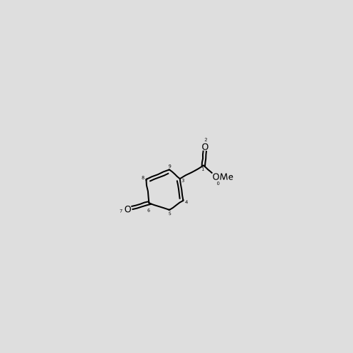 COC(=O)C1=CCC(=O)C=C1